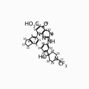 O=C(O)c1cn(-c2ccc3c(c2)CCC3)c2nc(Nc3cccc(C4(O)CCN(CC(F)(F)F)CC4)c3)ncc2c1=O